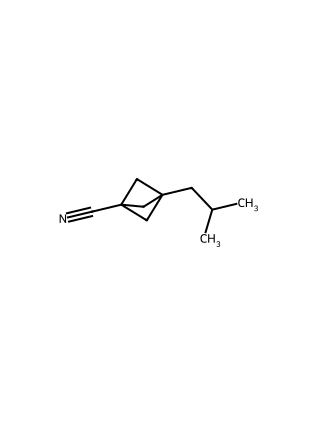 CC(C)CC12CC(C#N)(C1)C2